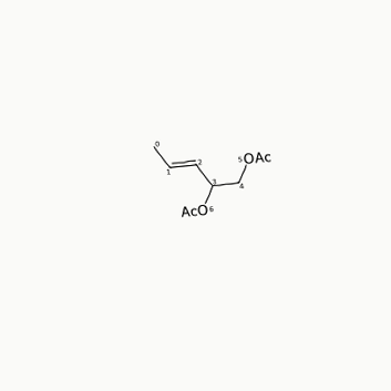 CC=CC(COC(C)=O)OC(C)=O